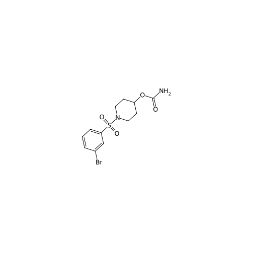 NC(=O)OC1CCN(S(=O)(=O)c2cccc(Br)c2)CC1